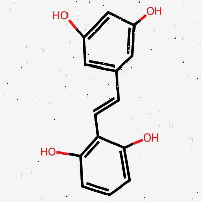 Oc1cc(O)cc(C=Cc2c(O)cccc2O)c1